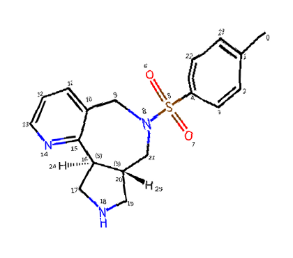 Cc1ccc(S(=O)(=O)N2Cc3cccnc3[C@@H]3CNC[C@H]3C2)cc1